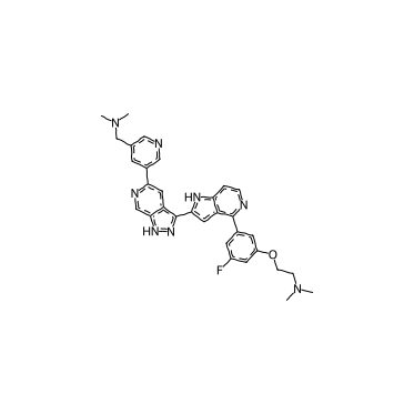 CN(C)CCOc1cc(F)cc(-c2nccc3[nH]c(-c4n[nH]c5cnc(-c6cncc(CN(C)C)c6)cc45)cc23)c1